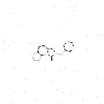 O=c1n(Cc2cncnc2)nc2ccc3c(n12)CCN3